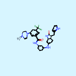 CN1CCN(c2cc(C(=O)Nc3cccc(Nc4ccc5c(c4)NC(=O)C5=Cc4ccc[nH]4)c3)cc(C(F)(F)F)c2)CC1